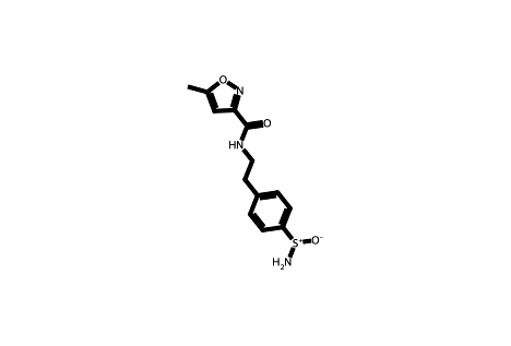 Cc1cc(C(=O)NCCc2ccc([S+](N)[O-])cc2)no1